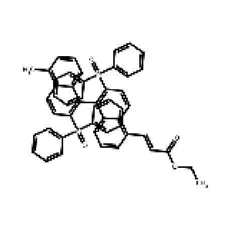 CCOC(=O)/C=C/c1cccc2c(-c3c(P(=O)(c4ccccc4)c4ccccc4)ccc4c(C)cccc34)c(P(=O)(c3ccccc3)c3ccccc3)ccc12